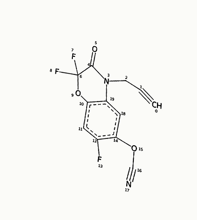 C#CCN1C(=O)C(F)(F)Oc2cc(F)c(OC#N)cc21